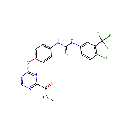 CNC(=O)c1ncnc(Oc2ccc(NC(=O)Nc3ccc(Cl)c(C(F)(F)F)c3)cc2)n1